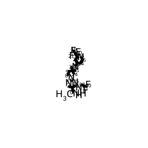 CC(=N)c1cnc(N2CCC3(CN(c4ccnc(C(F)(F)F)c4)C3)C2)nc1NCC(F)F